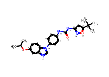 CC(C)Oc1ccc2c(c1)ncn2-c1ccc(NC(=O)Nc2cc(C(C)(C)C)on2)cc1